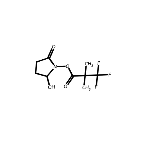 CC(C)(C(=O)ON1C(=O)CCC1O)C(F)(F)F